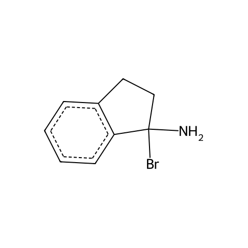 NC1(Br)CCc2ccccc21